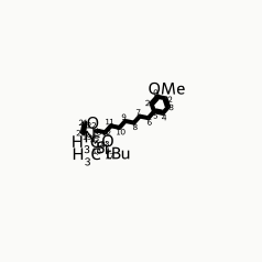 COc1cccc(CCCCCCC(O[Si](C)(C)C(C)(C)C)c2ncco2)c1